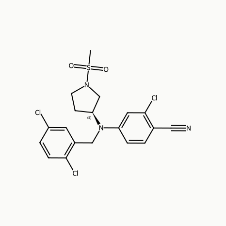 CS(=O)(=O)N1CC[C@H](N(Cc2cc(Cl)ccc2Cl)c2ccc(C#N)c(Cl)c2)C1